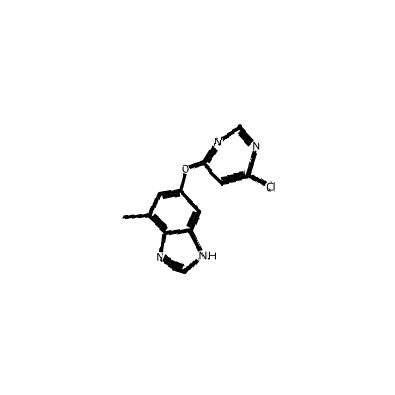 Cc1cc(Oc2cc(Cl)ncn2)cc2[nH]cnc12